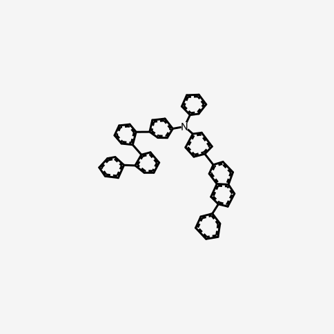 c1ccc(-c2ccc3ccc(-c4ccc(N(c5ccccc5)c5ccc(-c6ccccc6-c6ccccc6-c6ccccc6)cc5)cc4)cc3c2)cc1